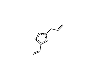 C=CCn1cnc(C=C)c1